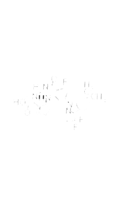 CC1(C)CCc2c(C(F)(F)F)nn(-c3cc(F)c(C(N)=O)c(NC4CCC[C@H]4C(N)C(=O)O)c3)c2C1